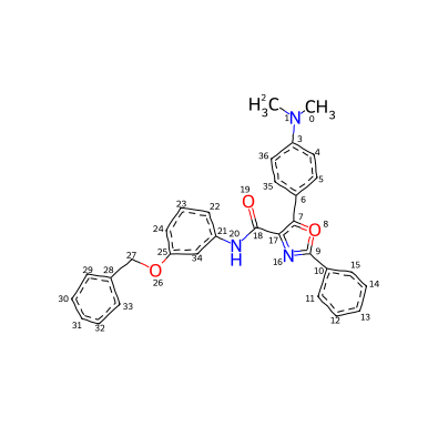 CN(C)c1ccc(-c2oc(-c3ccccc3)nc2C(=O)Nc2cccc(OCc3ccccc3)c2)cc1